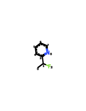 CC(F)c1ccccn1